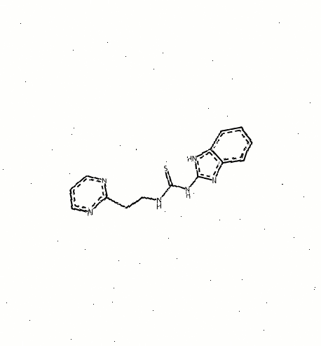 S=C(NCCc1ncccn1)Nc1nc2ccccc2[nH]1